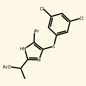 CC(=O)OC(C)c1nc(Sc2cc(Cl)cc(Cl)c2)c(C(C)C)[nH]1